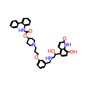 O=C(Nc1ccccc1-c1ccccc1)OC1CCN(CCCOc2cccc(CNCC(O)c3ccc(O)c4[nH]c(=O)ccc34)c2)CC1